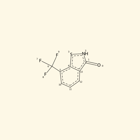 O=c1[nH]sc2c(C(F)(F)F)cccc12